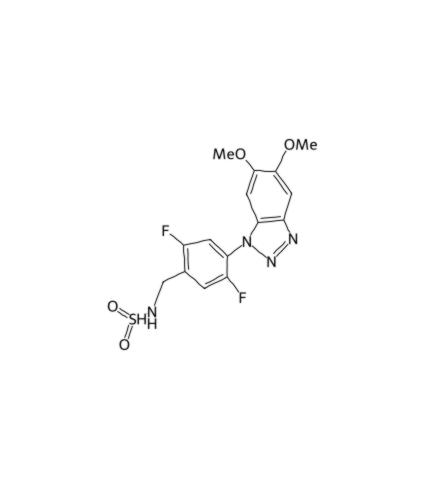 COc1cc2nnn(-c3cc(F)c(CN[SH](=O)=O)cc3F)c2cc1OC